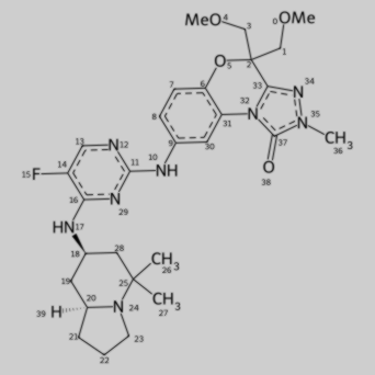 COCC1(COC)Oc2ccc(Nc3ncc(F)c(N[C@@H]4C[C@@H]5CCCN5C(C)(C)C4)n3)cc2-n2c1nn(C)c2=O